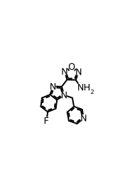 Nc1nonc1-c1nc2ccc(F)cc2n1Cc1cccnc1